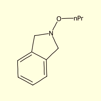 CCCON1Cc2ccccc2C1